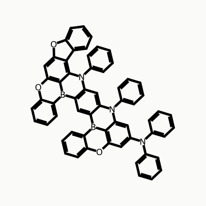 c1ccc(N(c2ccccc2)c2cc3c4c(c2)N(c2ccccc2)c2cc5c(cc2B4c2ccccc2O3)B2c3ccccc3Oc3cc4oc6ccccc6c4c(c32)N5c2ccccc2)cc1